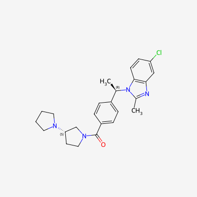 Cc1nc2cc(Cl)ccc2n1[C@H](C)c1ccc(C(=O)N2CC[C@H](N3CCCC3)C2)cc1